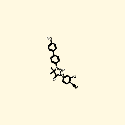 CC1(C)C(=O)[SH](c2ccc(C#N)c(Cl)c2)NN1c1ccc(-c2ccc(O)cc2)cc1